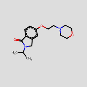 CC(C)N1Cc2cc(OCCN3CCOCC3)ccc2C1=O